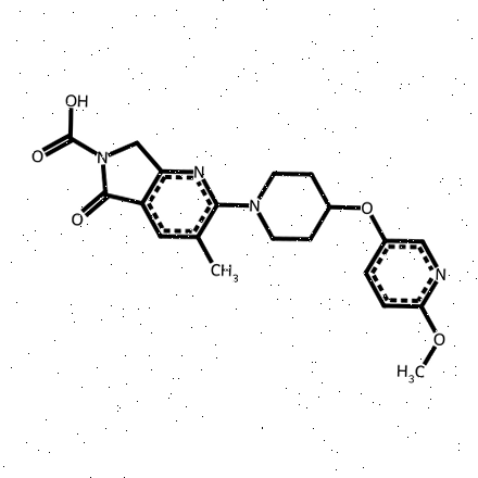 COc1ccc(OC2CCN(c3nc4c(cc3C)C(=O)N(C(=O)O)C4)CC2)cn1